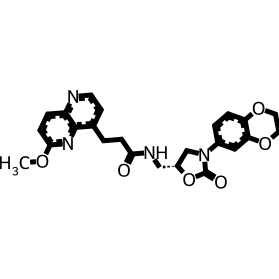 COc1ccc2nccc(CCC(=O)NC[C@@H]3CN(c4ccc5c(c4)OCCO5)C(=O)O3)c2n1